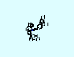 C=C(CC=O)c1ccc2c(c1)/C(=C/CCN1CCC(O)(c3ccc(Cl)cc3)CC1)c1cccnc1CO2